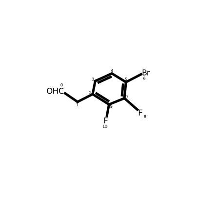 O=CCc1ccc(Br)c(F)c1F